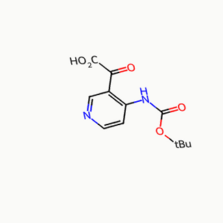 CC(C)(C)OC(=O)Nc1ccncc1C(=O)C(=O)O